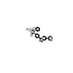 CC1(C)OC(=O)N(c2ccc(-c3nnc4cc(-c5cncnc5)ccn34)cc2)[C@H]1c1ccccc1